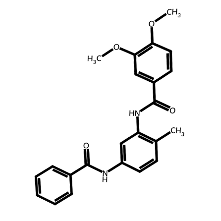 COc1ccc(C(=O)Nc2cc(NC(=O)c3ccccc3)ccc2C)cc1OC